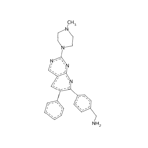 CN1CCN(c2ncc3cc(-c4ccccc4)c(-c4ccc(CN)cc4)nc3n2)CC1